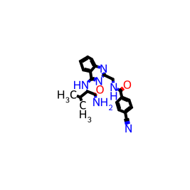 CC(C)[C@H](Nc1nc(CNC(=O)c2ccc(C#N)cc2)nc2ccccc12)C(N)=O